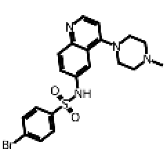 CN1CCN(c2ccnc3ccc(NS(=O)(=O)c4ccc(Br)cc4)cc23)CC1